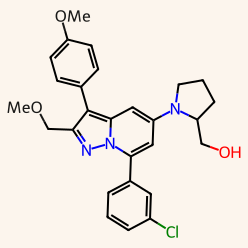 COCc1nn2c(-c3cccc(Cl)c3)cc(N3CCCC3CO)cc2c1-c1ccc(OC)cc1